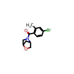 Cc1cc(Br)ccc1C(=O)N1CC2CC1CO2